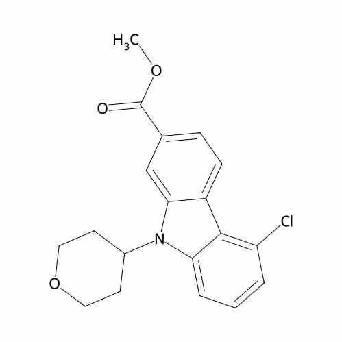 COC(=O)c1ccc2c3c(Cl)cccc3n(C3CCOCC3)c2c1